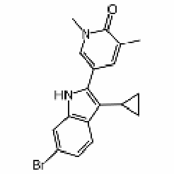 Cc1cc(-c2[nH]c3cc(Br)ccc3c2C2CC2)cn(C)c1=O